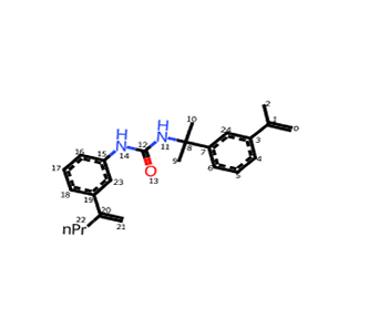 C=C(C)c1cccc(C(C)(C)NC(=O)Nc2cccc(C(=C)CCC)c2)c1